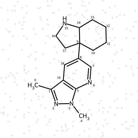 Cc1nn(C)c2ncc(C34CCCCC3NCC4)cc12